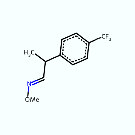 CON=CC(C)c1ccc(C(F)(F)F)cc1